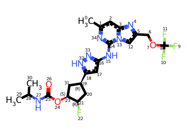 Cc1cc2nc(COC(F)(F)F)cn2c(Nc2cc([C@H]3C[C@@H](F)[C@@H](OC(=O)NC(C)C)C3)[nH]n2)n1